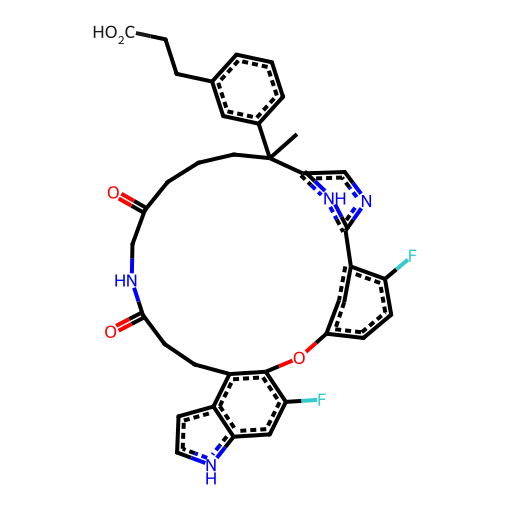 CC1(c2cccc(CCC(=O)O)c2)CCCC(=O)CNC(=O)CCc2c(c(F)cc3[nH]ccc23)Oc2ccc(F)c(c2)-c2ncc1[nH]2